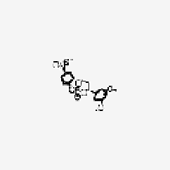 COc1cc(OC)cc([C@@H]2CCO[P@@](=O)(Oc3ccc([N+](=O)[O-])cc3)O2)c1